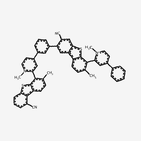 Cc1ccc2c(sc3cc(C#N)c(-c4cccc(-c5cc[n+](C)c(-c6c(C)ccc7c6sc6cccc(C#N)c67)c5)c4)cc32)c1-c1cc(-c2ccccc2)cc[n+]1C